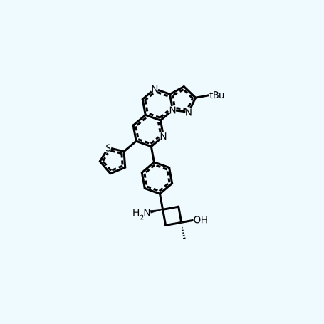 CC(C)(C)c1cc2ncc3cc(-c4cccs4)c(-c4ccc([C@]5(N)C[C@@](C)(O)C5)cc4)nc3n2n1